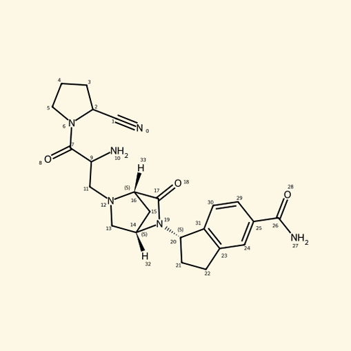 N#CC1CCCN1C(=O)C(N)CN1C[C@@H]2C[C@H]1C(=O)N2[C@H]1CCc2cc(C(N)=O)ccc21